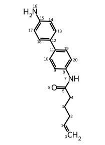 C=CCCCC(=O)Nc1ccc(-c2ccc(N)cc2)cc1